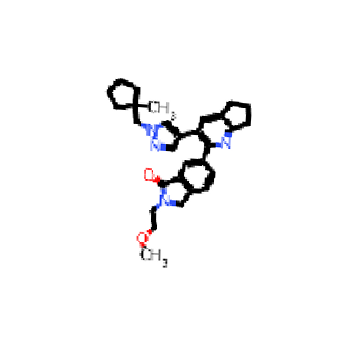 COCCN1Cc2ccc(-c3nc4c(cc3-c3cnn(CC5(C)CCCC5)c3)CCC4)cc2C1=O